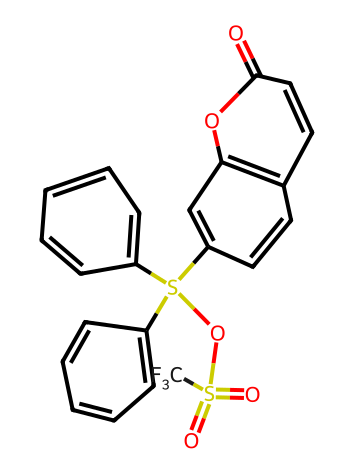 O=c1ccc2ccc(S(OS(=O)(=O)C(F)(F)F)(c3ccccc3)c3ccccc3)cc2o1